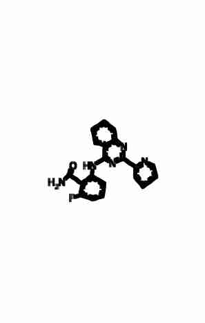 NC(=O)c1c(F)cccc1Nc1nc(-c2ccccn2)nc2ccccc12